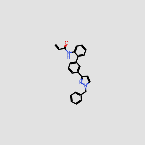 C=CC(=O)Nc1ccccc1-c1cccc(-c2ccn(Cc3ccccc3)n2)c1